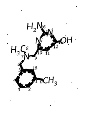 Cc1cccc(CN(C)Cc2cc(O)nc(N)n2)c1